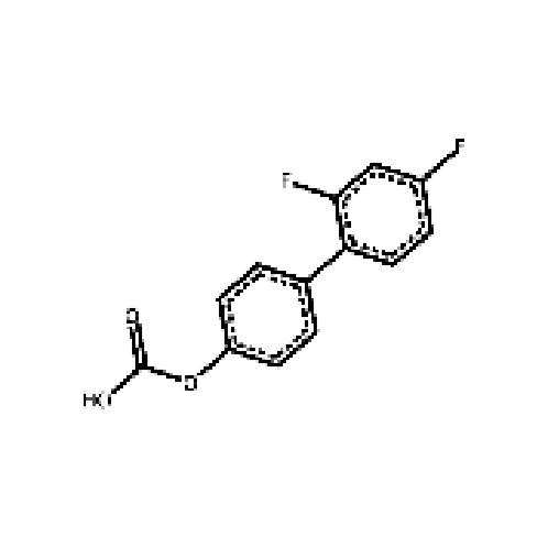 O=C(O)Oc1ccc(-c2ccc(F)cc2F)cc1